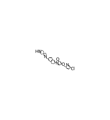 O=c1cc(OCc2ccc(Cl)cn2)ccn1C1=Cc2ccc(CN3CCC4(CCNCC4)C3)cc2CC1